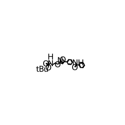 CC(C)(C)OC(=O)NCCOc1cc(-c2ccc(NC(=O)c3ccccc3)cc2)on1